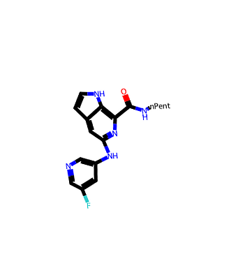 CCCCCNC(=O)c1nc(Nc2cncc(F)c2)cc2cc[nH]c12